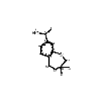 CC(O)c1ccc2c(c1)SCC(C)(C)CC2